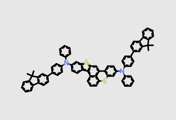 CC1(C)c2ccccc2-c2ccc(-c3ccc(N(c4ccccc4)c4ccc5c(c4)Sc4cccc6c4c-5cc4sc5cc(N(c7ccccc7)c7ccc(-c8ccc9c(c8)C(C)(C)c8ccccc8-9)cc7)ccc5c46)cc3)cc21